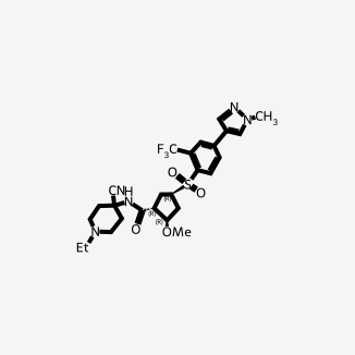 CCN1CCC(C#N)(NC(=O)[C@@H]2C[C@@H](S(=O)(=O)c3ccc(-c4cnn(C)c4)cc3C(F)(F)F)C[C@H]2OC)CC1